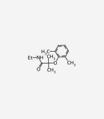 CCNC(=O)C(C)(C)Oc1c(C)cccc1C